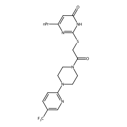 CCCc1cc(=O)[nH]c(SCC(=O)N2CCN(c3ccc(C(F)(F)F)cn3)CC2)n1